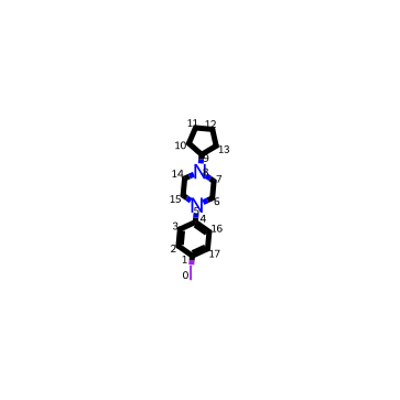 Ic1ccc(N2CCN(C3CCCC3)CC2)cc1